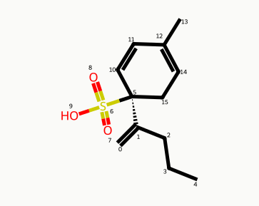 C=C(CCC)[C@]1(S(=O)(=O)O)C=CC(C)=CC1